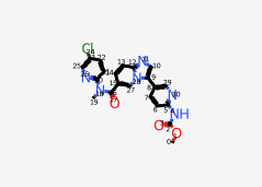 COC(=O)Nc1ccc(-c2cnc3ccc(C(=O)N(C)c4ccc(Cl)cn4)cn23)cn1